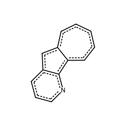 c1ccc2cc3cccnc3c-2cc1